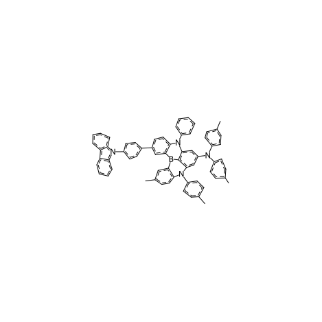 Cc1ccc(N(c2ccc(C)cc2)c2cc3c4c(c2)N(c2ccccc2)c2ccc(-c5ccc(-n6c7ccccc7c7ccccc76)cc5)cc2B4c2cc(C)ccc2N3c2ccc(C)cc2)cc1